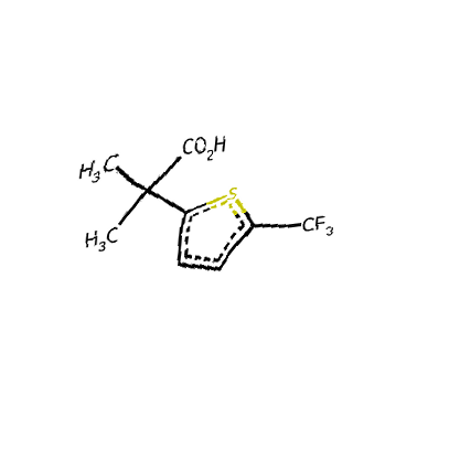 CC(C)(C(=O)O)c1ccc(C(F)(F)F)s1